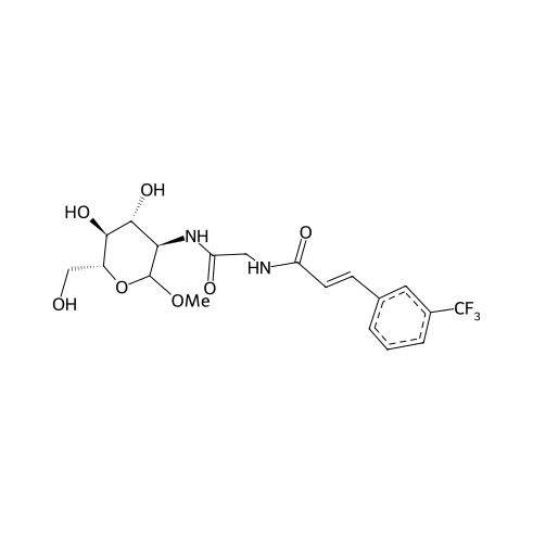 COC1O[C@H](CO)[C@@H](O)[C@H](O)[C@H]1NC(=O)CNC(=O)/C=C/c1cccc(C(F)(F)F)c1